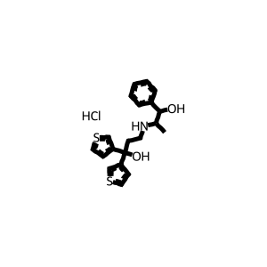 CC(NCCC(O)(c1ccsc1)c1ccsc1)C(O)c1ccccc1.Cl